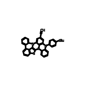 C#Cc1cc2c3c(c1)N1c4ccccc4-c4cccc5sc(c1c45)B3c1ccccc1N2c1ccc(C(C)(C)C)cc1